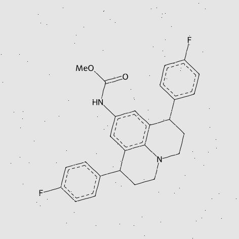 COC(=O)Nc1cc2c3c(c1)C(c1ccc(F)cc1)CCN3CCC2c1ccc(F)cc1